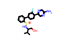 CC(C)C(CO)N[S+]([O-])c1ccccc1-c1ccc(-c2cnc(N)cn2)c(F)c1